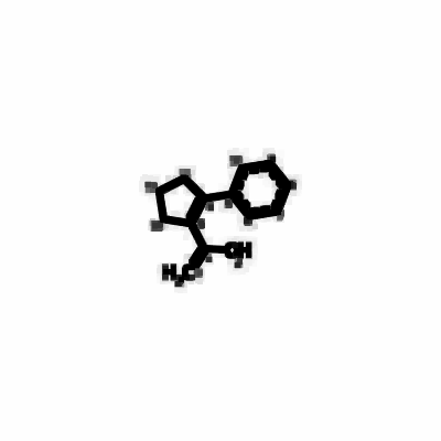 C=C(O)C1=C(c2ccccc2)CCC1